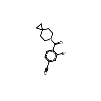 N#Cc1ccc(C(=O)N2CCC3(CC2)CC3)c(Br)c1